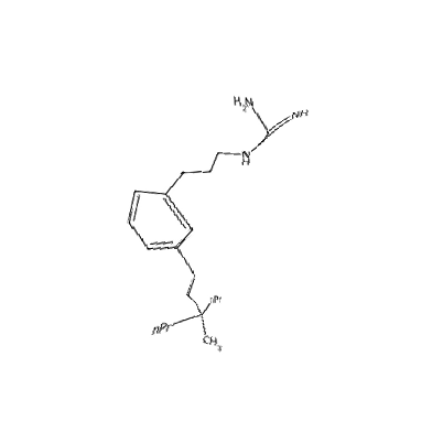 CCCC(C)(CCC)CCc1cccc(CCCNC(=N)N)c1